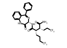 NC(=O)[C@H](CCC(F)(F)F)[C@H](CCCC(F)(F)F)C(=O)N[C@H]1N=C(c2ccccc2)c2ccccc2NC1=O